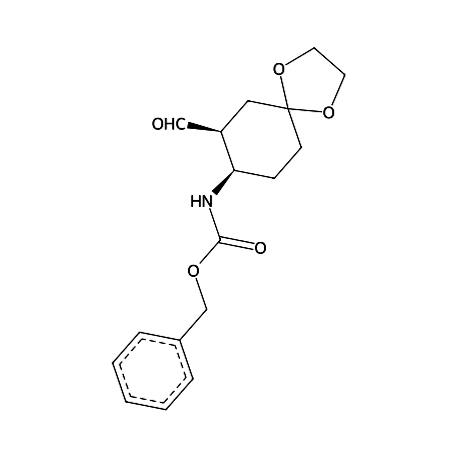 O=C[C@H]1CC2(CC[C@H]1NC(=O)OCc1ccccc1)OCCO2